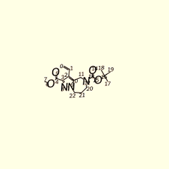 C=Cc1c(C(=O)OC)nn2c1CN(C(=O)OC(C)(C)C)CCC2